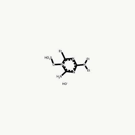 CCc1nc(N(CC)CC)nc(N)[n+]1OS(=O)(=O)O.[OH-]